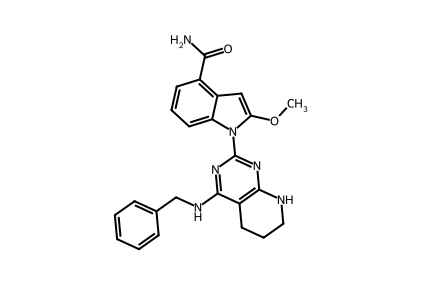 COc1cc2c(C(N)=O)cccc2n1-c1nc2c(c(NCc3ccccc3)n1)CCCN2